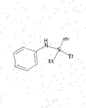 CCC[Si](CC)(CC)Nc1ccccc1